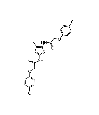 Cc1cc(NC(=O)COc2ccc(Cl)cc2)sc1NC(=O)COc1ccc(Cl)cc1